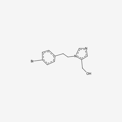 OCc1cncn1CCc1ccc(Br)cc1